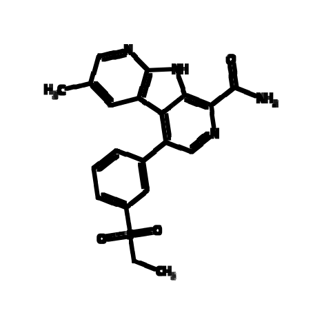 CCS(=O)(=O)c1cccc(-c2cnc(C(N)=O)c3[nH]c4ncc(C)cc4c23)c1